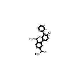 NC(=O)c1ccc(C(N)=O)c(-c2ccc(Cl)c(-c3ccccn3)c2)c1